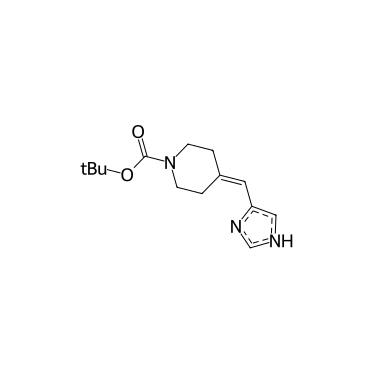 CC(C)(C)OC(=O)N1CCC(=Cc2c[nH]cn2)CC1